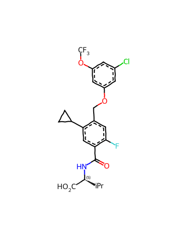 CC(C)[C@H](NC(=O)c1cc(C2CC2)c(COc2cc(Cl)cc(OC(F)(F)F)c2)cc1F)C(=O)O